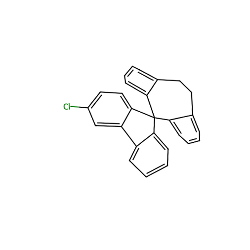 Clc1ccc2c(c1)-c1ccccc1C21c2ccccc2CCc2ccccc21